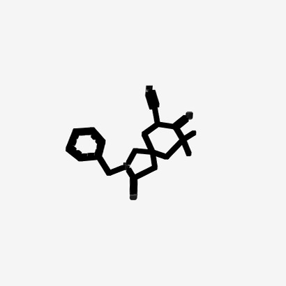 CC1(C)CC2(CC(=O)N(Cc3ccccc3)C2)CC(C#N)C1=O